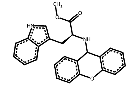 COC(=O)[C@H](Cc1c[nH]c2ccccc12)NC1c2ccccc2Oc2ccccc21